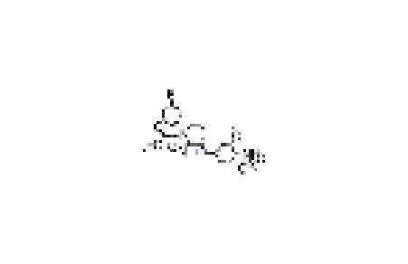 CCOC(=O)C1(c2ccc(F)cc2)ON=C2/C(=C/c3ccc(NS(C)(=O)=O)c(OC)c3)CCCN21